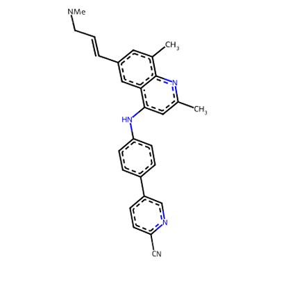 CNC/C=C/c1cc(C)c2nc(C)cc(Nc3ccc(-c4ccc(C#N)nc4)cc3)c2c1